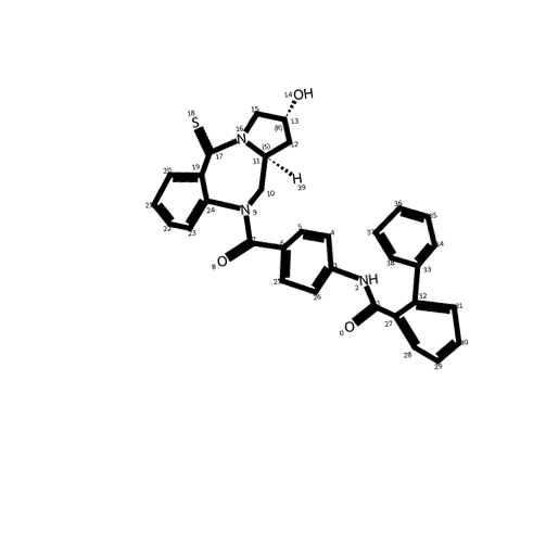 O=C(Nc1ccc(C(=O)N2C[C@@H]3C[C@@H](O)CN3C(=S)c3ccccc32)cc1)c1ccccc1-c1ccccc1